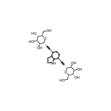 OC[C@H]1O[C@H](C#Cc2ccc(C#C[C@H]3O[C@H](CO)[C@@H](O)[C@H](O)[C@@H]3O)c3[nH]ncc23)[C@@H](O)[C@@H](O)[C@@H]1O